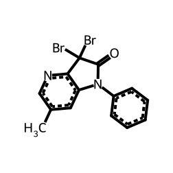 Cc1cnc2c(c1)N(c1ccccc1)C(=O)C2(Br)Br